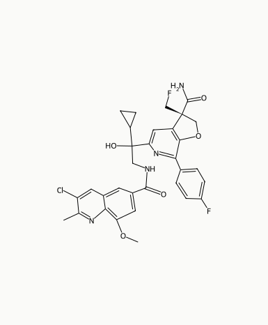 COc1cc(C(=O)NCC(O)(c2cc3c(c(-c4ccc(F)cc4)n2)OC[C@@]3(CF)C(N)=O)C2CC2)cc2cc(Cl)c(C)nc12